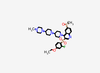 CCOc1ccc(S(=O)(=O)c2cnc3ccc([S+](C)[O-])cc3c2N2CCC(N3CCC(N4CCN(C)CC4)CC3)CC2)c(F)c1